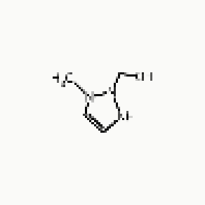 CN1C=CNN1CO